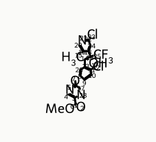 COC(=O)c1cnc(Oc2ccc(Cl)c(C(C)C(O)(c3ccnc(Cl)c3)C(F)(F)F)c2)cn1